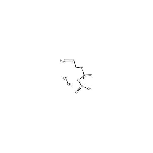 C=CCO[PH](=O)O[PH](=O)O.CC